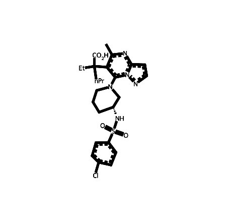 CCCC(CC)(C(=O)O)c1c(C)nc2ccnn2c1N1CCC[C@@H](NS(=O)(=O)c2ccc(Cl)cc2)C1